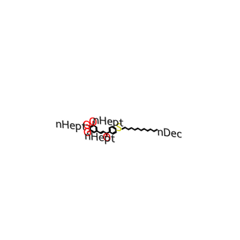 CCCCCCCCCCCCCCCCCCCCCCSc1ccc(C(=O)/C=C/c2cc(OCCCCCCC)c(OCCCCCCC)c(OCCCCCCC)c2)cc1